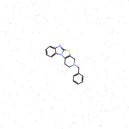 c1ccc(CN2CCc3c(sc4nc5ccccc5n34)C2)cc1